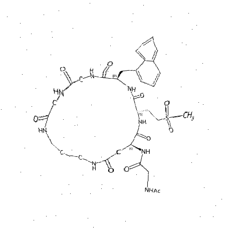 CC(=O)NCC(=O)N[C@H]1CC(=O)NCCCCNC(=O)CNC(=O)CNC(=O)[C@@H](Cc2cccc3ccccc23)NC(=O)[C@H](CCS(C)(=O)=O)NC1=O